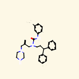 C=C(CN1CCNCC1)CN(CCC(c1ccccc1)c1ccccc1)C(=O)Nc1cccc(OC)c1.Cl